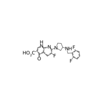 O=C(O)c1c[nH]c2nc(N3CCC(NCc4c(F)cccc4F)C3)c(F)cc2c1=O